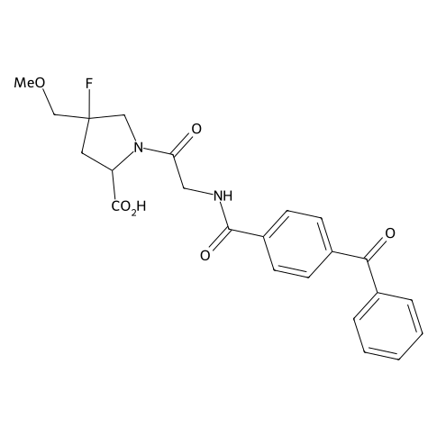 COCC1(F)CC(C(=O)O)N(C(=O)CNC(=O)c2ccc(C(=O)c3ccccc3)cc2)C1